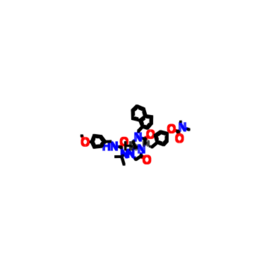 COc1ccc(CNC(=O)N(C(C)C)N2CC(=O)N3[C@@H](Cc4ccc(OC(=O)N(C)C)cc4)C(=O)N(Cc4cccc5ccccc45)C[C@@H]32)cc1